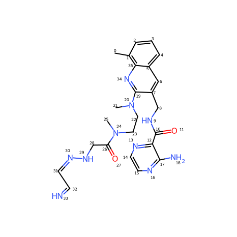 Cc1cccc2cc(CNC(=O)c3nccnc3N)c(N(C)CCN(C)C(=O)CN/N=C\C=N)nc12